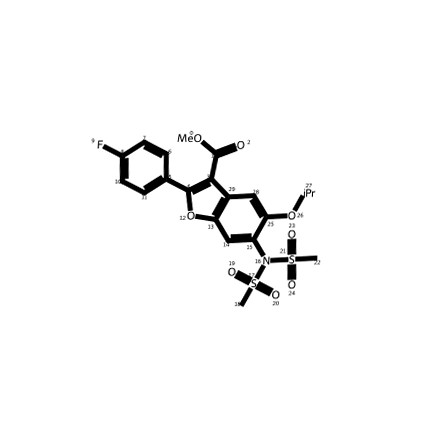 COC(=O)c1c(-c2ccc(F)cc2)oc2cc(N(S(C)(=O)=O)S(C)(=O)=O)c(OC(C)C)cc12